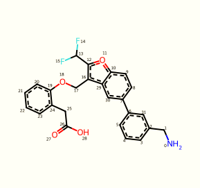 NCc1cccc(-c2ccc3oc(C(F)F)c(COc4ccccc4CC(=O)O)c3c2)c1